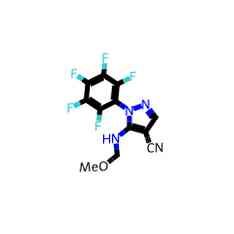 COCNc1c(C#N)cnn1-c1c(F)c(F)c(F)c(F)c1F